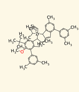 COc1c(C(C)(C)C)cc2c(c1-c1cc(C)cc(C)c1)C=C(C)[CH]2[Zr]([CH]=[SiH2])([CH](C)C)[CH]1C(C)=Cc2c(-c3cc(C)cc(C)c3)cc(C)cc21